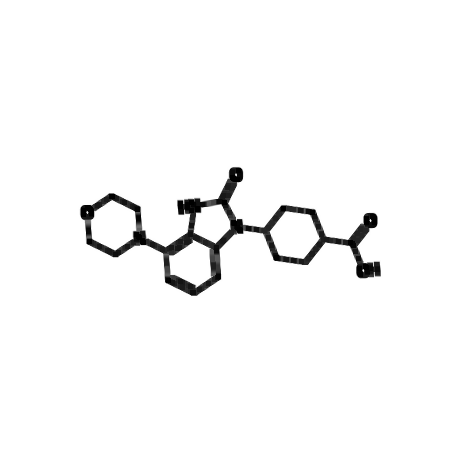 O=C(O)C1CCC(n2c(=O)[nH]c3c(N4CCOCC4)cccc32)CC1